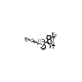 COCCOCCCCN1CCCCC1C(O)c1cc(C(F)(F)F)nc2c(C(F)(F)F)cccc12